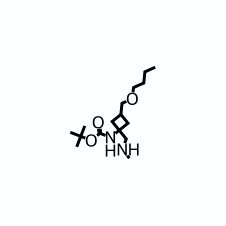 CCCCOCC1CC(CNC)(NC(=O)OC(C)(C)C)C1